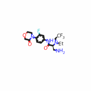 CCN(CC(F)(F)F)[C@@H](CN)C(=O)Nc1ccc(N2CCOCC2=O)c(F)c1